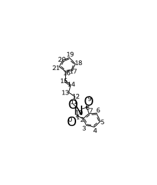 O=C1c2ccccc2C(=O)N1OCC/C=C/c1ccccc1